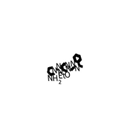 CCn1c(N2CCC[C@@H](N)C2)nc2cnn(Cc3nc(C)c4ccccc4n3)c(=O)c21